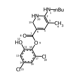 CCCCNC1=C(C)C=C(C(=O)Oc2c(O)cc(Cl)cc2Cl)CN1